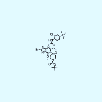 C[C@@H]1CC2(CCN1C(=O)OC(C)(C)C)OCCc1c2c(=O)n2nc(Br)nc2n1CC(=O)Nc1ccc(C(F)(F)F)cc1Cl